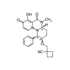 CN1C(=O)c2c(O)c(=O)ccn2N2[C@H](c3ccccc3)[C@H](OCC3(C#N)CCC3)CC[C@@H]12